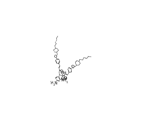 CCCCCCC1CCC(COc2ccc(C=CC(=O)CC(c3ccc(N)cc3N)C(O)(O)C(=O)C=Cc3ccc(OCC4CCC(CCCCCC)CC4)cc3)cc2)CC1